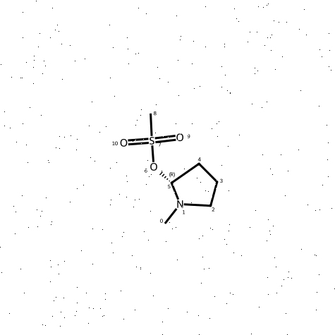 CN1CCC[C@H]1OS(C)(=O)=O